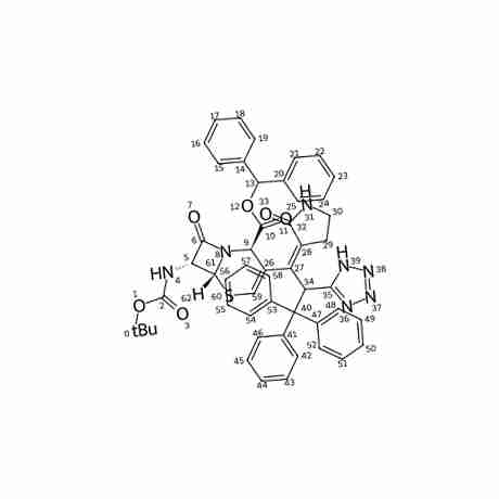 CC(C)(C)OC(=O)N[C@@H]1C(=O)N2[C@@H](C(=O)OC(c3ccccc3)c3ccccc3)C(C(=C3CCNC3=O)C(c3nnn[nH]3)C(c3ccccc3)(c3ccccc3)c3ccccc3)=CS[C@H]12